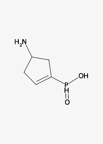 NC1CC=C([PH](=O)O)C1